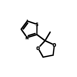 CC1(c2nc[c]s2)OCCO1